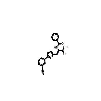 N#Cc1cccc(-c2ccc(/C=C(\NC(=O)c3ccccc3)C(=O)O)o2)c1